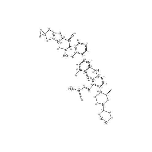 C[C@H]1CN(C2CCOCC2)CCN1c1ccc(Nc2nc(-c3ccnc(N4CCn5c(cc6c5CC5(CC5)C6)C4=O)c3CO)cn(C)c2=O)cc1C=CC(N)=O